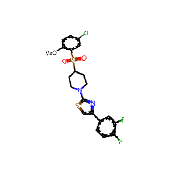 COc1ccc(Cl)cc1S(=O)(=O)C1CCN(c2nc(-c3ccc(F)c(F)c3)cs2)CC1